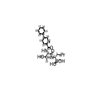 CC(C)C[C@H](NC(=O)[C@@H](NC(=O)c1ccc(-c2ccccc2)cn1)[C@@H](C)O)B(O)O